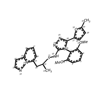 COc1cccc(OC)c1-n1c(NSC(C)Cc2cccc3ccnn23)nnc1-c1ccc(C)o1